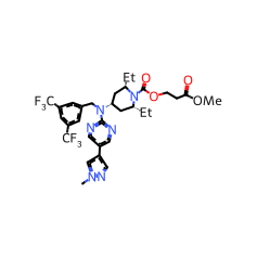 CC[C@@H]1C[C@H](N(Cc2cc(C(F)(F)F)cc(C(F)(F)F)c2)c2ncc(-c3cnn(C)c3)cn2)C[C@H](CC)N1C(=O)OCCC(=O)OC